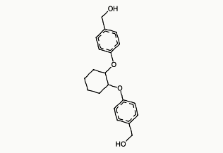 OCc1ccc(OC2CCCCC2Oc2ccc(CO)cc2)cc1